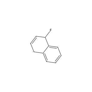 FC1C=C[CH]c2ccccc21